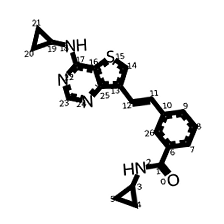 O=C(NC1CC1)c1cccc(/C=C/c2csc3c(NC4CC4)ncnc23)c1